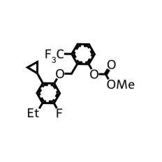 CCc1cc(C2CC2)c(OCc2c(OC(=O)OC)cccc2C(F)(F)F)cc1F